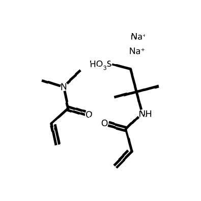 C=CC(=O)N(C)C.C=CC(=O)NC(C)(C)CS(=O)(=O)O.[Na+].[Na+]